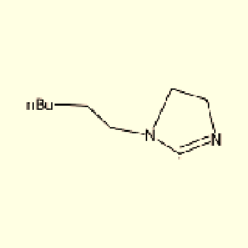 CCCCCCN1[C]=NCC1